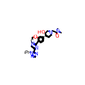 CC(C)n1ncnc1-c1cn2c(n1)-c1ccc([C@H]3CCN(CC(=O)N(C)C)C[C@H]3O)cc1OCC2